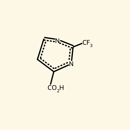 O=C(O)c1ccnc(C(F)(F)F)n1